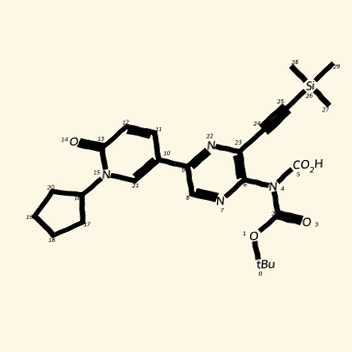 CC(C)(C)OC(=O)N(C(=O)O)c1ncc(-c2ccc(=O)n(C3CCCC3)c2)nc1C#C[Si](C)(C)C